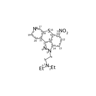 CCN(CC)CCn1nc2c3c(c([N+](=O)[O-])ccc31)Sc1cnccc1-2